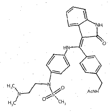 CC(=O)NCc1ccc(C(Nc2ccc(N(CCN(C)C)S(C)(=O)=O)cc2)=C2C(=O)Nc3ccccc32)cc1